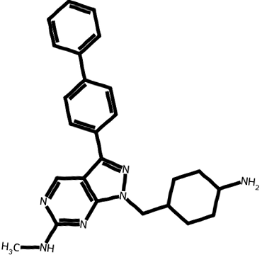 CNc1ncc2c(-c3ccc(-c4ccccc4)cc3)nn(CC3CCC(N)CC3)c2n1